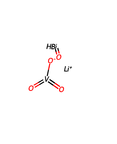 [Li+].[O]=[BiH].[O]=[V](=[O])[O-]